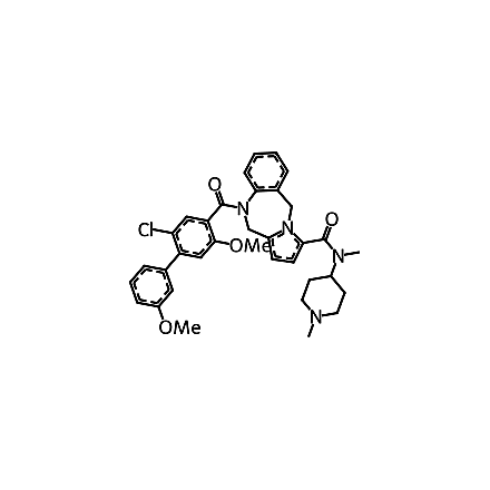 COc1cccc(-c2cc(OC)c(C(=O)N3Cc4ccc(C(=O)N(C)C5CCN(C)CC5)n4Cc4ccccc43)cc2Cl)c1